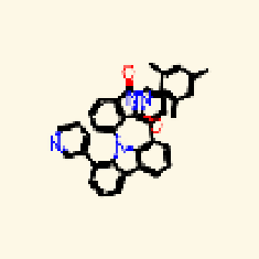 Cc1cc(C)c(N2C(=O)c3cccc(-n4c5c(-c6cccnc6)cccc5c5cccc(-c6cccnc6)c54)c3C2=O)c(C)c1